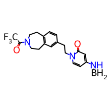 BNc1ccn(CCc2ccc3c(c2)CCN(C(=O)C(F)(F)F)CC3)c(=O)c1